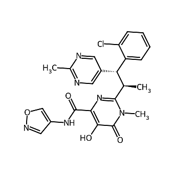 Cc1ncc([C@H](c2ccccc2Cl)[C@@H](C)c2nc(C(=O)Nc3cnoc3)c(O)c(=O)n2C)cn1